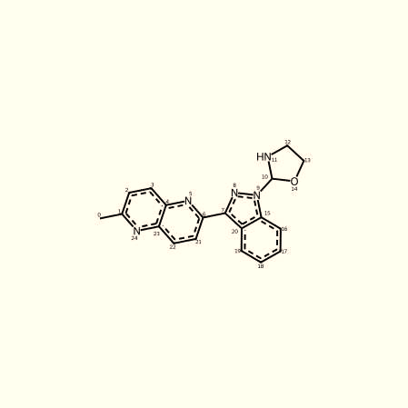 Cc1ccc2nc(-c3nn(C4NCCO4)c4ccccc34)ccc2n1